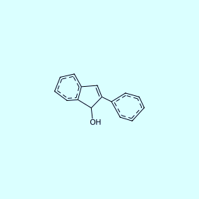 OC1C(c2ccccc2)=Cc2ccccc21